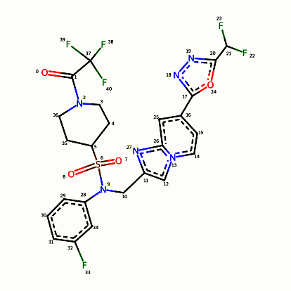 O=C(N1CCC(S(=O)(=O)N(Cc2cn3ccc(-c4nnc(C(F)F)o4)cc3n2)c2cccc(F)c2)CC1)C(F)(F)F